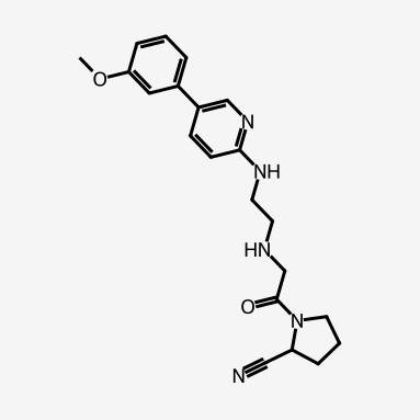 COc1cccc(-c2ccc(NCCNCC(=O)N3CCCC3C#N)nc2)c1